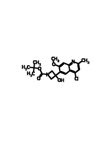 COc1cc2nc(C)cc(Cl)c2cc1C1(O)CN(C(=O)OC(C)(C)C)C1